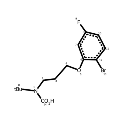 CC(C)(C)N(CCCOc1cc(F)ccc1Br)C(=O)O